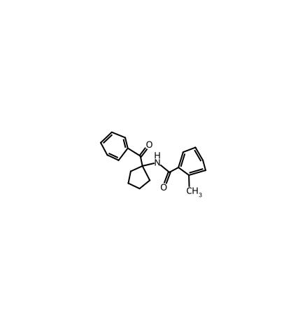 Cc1ccccc1C(=O)NC1(C(=O)c2ccccc2)CCCC1